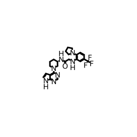 O=C(CNc1cc(C(F)(F)F)ccc1N1CCCC1)N[C@@H]1CCCN(c2ncnc3[nH]ccc23)C1